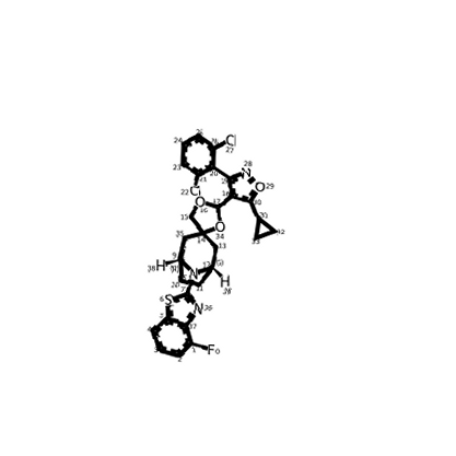 Fc1cccc2sc(N3[C@@H]4CC[C@H]3CC3(COC(c5c(-c6c(Cl)cccc6Cl)noc5C5CC5)O3)C4)nc12